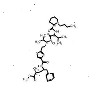 CCCCN1CCCC[C@@H]1C(=O)N[C@H](C(=O)N(C)[C@H](CCc1nc(C(=O)N[C@@H](Cc2ccccc2)C[C@H](C)C(=O)OC)cs1)C(C)C)C(C)C